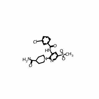 CS(=O)(=O)c1cnc(N2CCC(C(N)=O)CC2)c(NC(=O)c2cccc(Cl)c2)c1